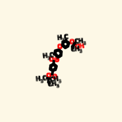 CCC(C)(C)OC(=O)c1ccc(C(=O)Oc2ccc(Oc3ccc(O[C@](C)(O)CC)c(C)c3)cc2C)cc1